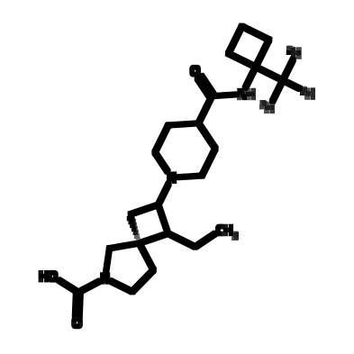 [2H]C([2H])([2H])C1(NC(=O)C2CCN(C3C[C@@]4(CCN(C(=O)O)C4)C3CC)CC2)CCC1